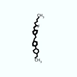 CCCCCC(F)=Cc1ccc(CCc2ccc(C3CCC(CCC)CC3)cc2)cc1